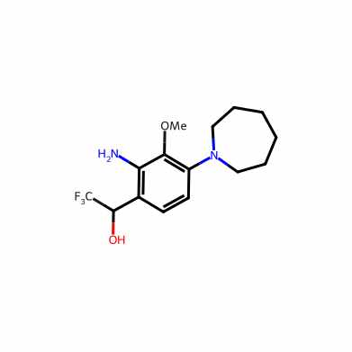 COc1c(N2CCCCCC2)ccc(C(O)C(F)(F)F)c1N